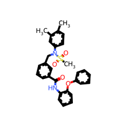 Cc1ccc(N(Cc2cccc(C(=O)Nc3ccccc3Oc3ccccc3)c2)S(C)(=O)=O)cc1C